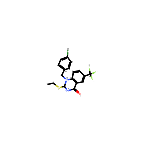 CCSC1NC(=O)c2cc(C(F)(F)F)ccc2N1Cc1ccc(Cl)cc1